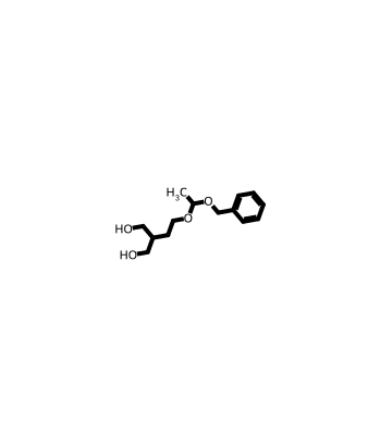 CC(OCCC(CO)CO)OCc1ccccc1